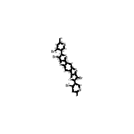 Cc1cc(Br)c(-c2sc3c(sc4cc5c(cc43)sc3c(Br)c(-c4cnc(C)cc4Br)sc35)c2Br)cn1